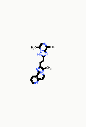 CC1=CN=C(C)C2=NC(CCc3nc4c5cccnc5ccn4c3C)NN12